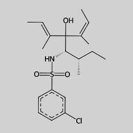 C/C=C(/C)C(O)(/C(C)=C/C)[C@@H](NS(=O)(=O)c1cccc(Cl)c1)[C@@H](C)CC